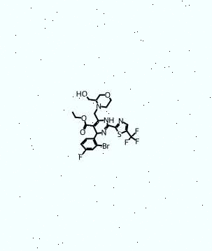 CCOC(=O)C1=C(CN2CCOCC2CO)NC(c2ncc(C(F)(F)F)s2)=NC1c1ccc(F)cc1Br